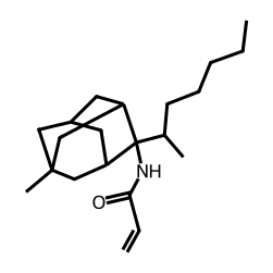 C=CC(=O)NC1(C(C)CCCCC)C2CC3CC1CC(C)(C3)C2